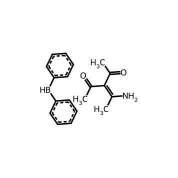 B(c1ccccc1)c1ccccc1.CC(=O)C(C(C)=O)=C(C)N